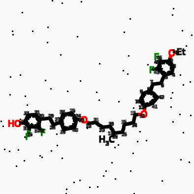 CCOc1ccc(CCc2ccc(OCCCCC(C)CCCCOc3ccc(CCc4ccc(O)c(F)c4F)cc3)cc2)c(F)c1F